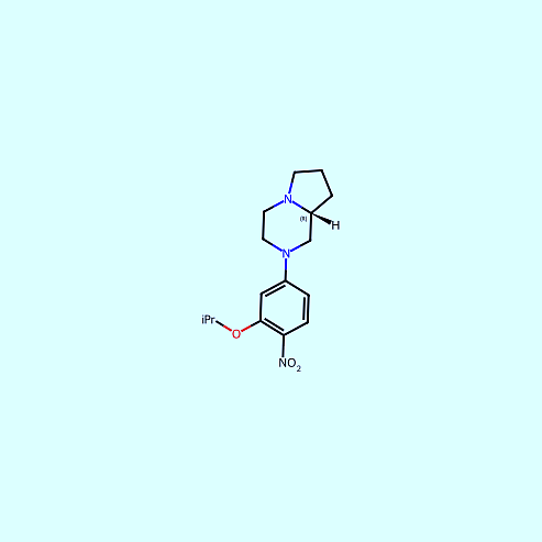 CC(C)Oc1cc(N2CCN3CCC[C@@H]3C2)ccc1[N+](=O)[O-]